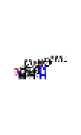 COc1ccc(NC(=O)[C@H]2CC[C@H]3[C@@H]4CC[C@H]5N(C)C(=O)C=C[C@]5(C)[C@H]4CC[C@]23C)c(OC)c1